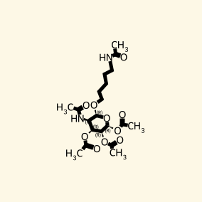 CC(=O)NCCCCCO[C@@H]1O[C@H](OC(C)=O)[C@H](OC(C)=O)[C@H](OC(C)=O)[C@H]1NC(C)=O